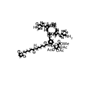 COC(=O)C1O[C@@H](Oc2ccc(CSP3(=O)OC[C@H]4O[C@@H](n5cnc6c(=O)[nH]cnc65)[C@H](F)[C@@H]4OP(=O)(S)OC[C@H]4O[C@@H](n5cnc6c(N)ncnc65)[C@H](F)[C@@H]4O3)cc2NC(=O)CCCCCNC(=O)CCCCCN2C(=O)C=CC2=O)C(OC(C)=O)[C@@H](OC(C)=O)[C@@H]1OC(C)=O